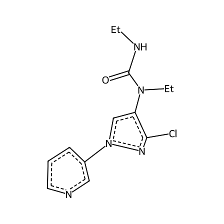 CCNC(=O)N(CC)c1cn(-c2cccnc2)nc1Cl